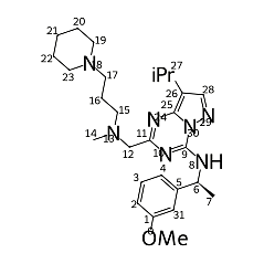 COc1cccc([C@H](C)Nc2nc(CN(C)CCCN3CCCCC3)nc3c(C(C)C)cnn23)c1